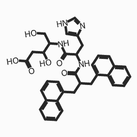 O=C(O)CC(O)C(CO)NC(=O)C(Cc1c[nH]cn1)NC(=O)C(Cc1cccc2ccccc12)Cc1cccc2ccccc12